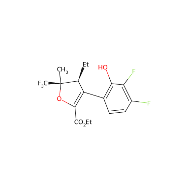 CCOC(=O)C1=C(c2ccc(F)c(F)c2O)[C@H](CC)[C@](C)(C(F)(F)F)O1